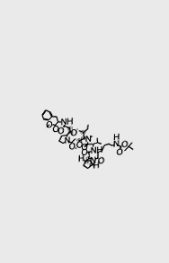 CC[C@H](C)[C@@H]([C@@H](CC(=O)N1CCCC1[C@H](OC)[C@@H](C)C(=O)NC(Cc1ccccc1)C(=O)OC)OC)N(C)C(=O)C(NC(=O)[C@@H]1[C@H]2CC[C@H](C2)N1C(=O)CCCCCNC(=O)OC(C)(C)C)C(C)C